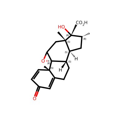 C[C@@H]1C[C@H]2[C@@H]3CCC4=CC(=O)C=C[C@]4(C)[C@]34OC4C[C@]2(C)[C@@]1(O)C(=O)O